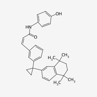 CC1(C)CCC(C)(C)c2cc(C3(c4cccc(/C=C\C(=O)Nc5ccc(O)cc5)c4)CC3)ccc21